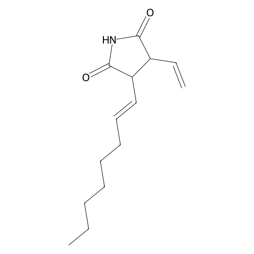 C=CC1C(=O)NC(=O)C1C=CCCCCCC